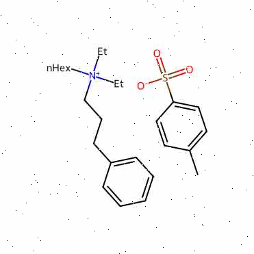 CCCCCC[N+](CC)(CC)CCCc1ccccc1.Cc1ccc(S(=O)(=O)[O-])cc1